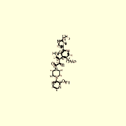 CCOc1nccnc1N1CCN(C(=O)C(=O)c2c[nH]c3c(-n4cnc(C)n4)ncc(OC)c23)CC1